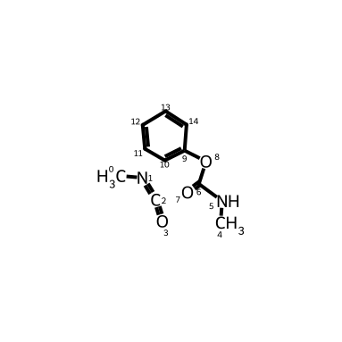 CN=C=O.CNC(=O)Oc1ccccc1